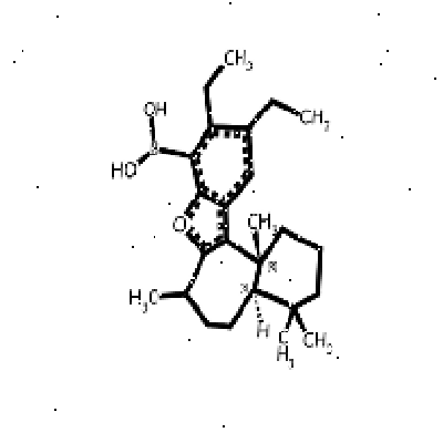 CCc1cc2c3c(oc2c(B(O)O)c1CC)C(C)CC[C@@H]1C(C)(C)CCC[C@@]31C